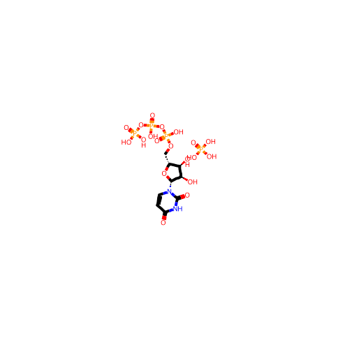 O=P(O)(O)O.O=c1ccn([C@@H]2O[C@H](COP(=O)(O)OP(=O)(O)OP(=O)(O)O)[C@@H](O)[C@H]2O)c(=O)[nH]1